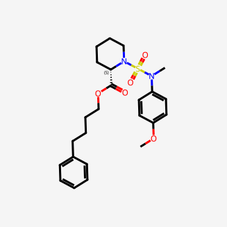 COc1ccc(N(C)S(=O)(=O)N2CCCC[C@H]2C(=O)OCCCCc2ccccc2)cc1